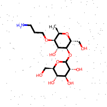 C[C@H]1O[C@H](CO)[C@@H](OC2O[C@H](CO)[C@@H](O)[C@H](O)[C@H]2O)[C@H](O)[C@H]1OCCCN